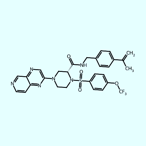 C=C(C)c1ccc(CNC(=O)[C@H]2CN(c3cnc4cnccc4n3)CCN2S(=O)(=O)c2ccc(OC(F)(F)F)cc2)cc1